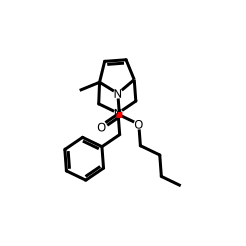 CCCCOC(=O)N1C2C=CC1(C)CN(Cc1ccccc1)C2